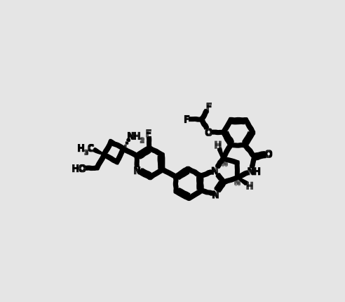 C[C@]1(CO)C[C@](N)(c2ncc(-c3ccc4nc5n(c4c3)[C@H]3C[C@@H]5NC(=O)c4cccc(OC(F)F)c43)cc2F)C1